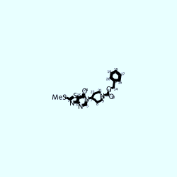 CSc1nc2ncn(C3CCN(C(=O)OCc4ccccc4)CC3)c(=O)c2s1